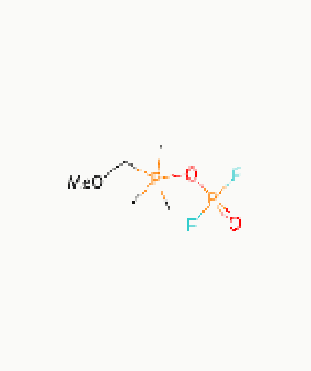 COCP(C)(C)(C)OP(=O)(F)F